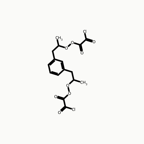 CC(Cc1cccc(CC(C)OOC(=O)C(=O)Cl)c1)OOC(=O)C(=O)Cl